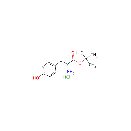 CC(C)(C)OC(=O)C(N)Cc1ccc(O)cc1.Cl